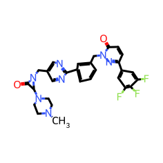 CN1CCN(C2C(=O)N2Cc2cnc(-c3cccc(Cn4nc(-c5cc(F)c(F)c(F)c5)ccc4=O)c3)nc2)CC1